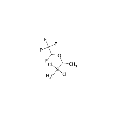 CC(OC(F)C(F)(F)F)[Si](C)(Cl)Cl